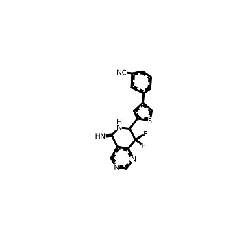 N#Cc1cccc(-c2csc(C3NC(=N)c4cncnc4C3(F)F)c2)c1